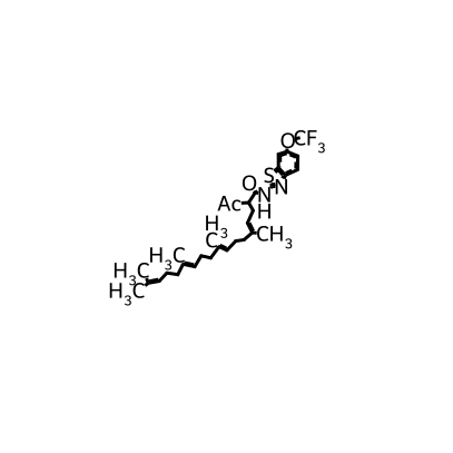 CC(=O)C(C/C=C(\C)CC/C=C(\C)CC/C=C(\C)CCC=C(C)C)C(=O)Nc1nc2ccc(OC(F)(F)F)cc2s1